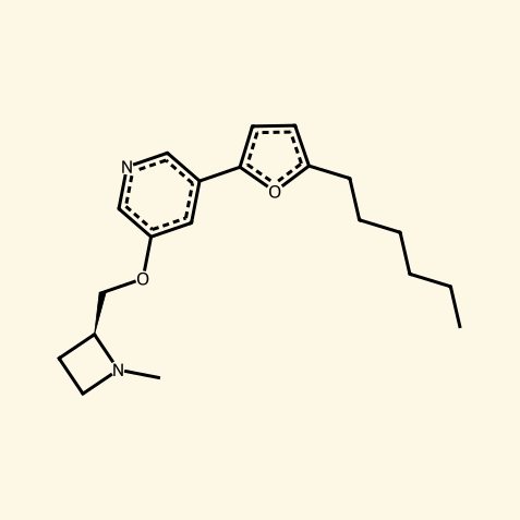 CCCCCCc1ccc(-c2cncc(OC[C@@H]3CCN3C)c2)o1